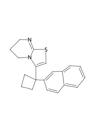 C1=C(C2(c3ccc4ccccc4c3)CCC2)N2CCCN=C2S1